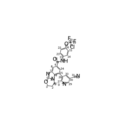 C[C@@H]1CCOc2nc3cc(C(=O)Nc4ccc(OC(F)(F)Cl)cc4)cc(-c4cncc(C#N)c4)c3n21